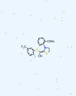 COc1ccccc1N1CCS/C1=C(\C#N)Sc1cc(C(F)(F)F)ccc1F